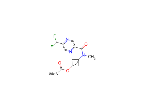 CNC(=O)OC12CC(N(C)C(=O)c3cnc(C(F)F)cn3)(C1)C2